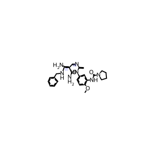 C=C(/N=C\C(C(N)=O)=C(/N)NCc1ccccc1)Nc1ccc(OC)c(NC(=O)N2CCCC2)c1